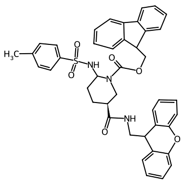 Cc1ccc(S(=O)(=O)NC2CC[C@H](C(=O)NCC3c4ccccc4Oc4ccccc43)CN2C(=O)OCC2c3ccccc3-c3ccccc32)cc1